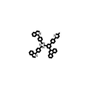 Cc1ccc(-c2ccc(-c3cc(-c4nc(-c5ccc(-c6nccc7ccccc67)cc5)nc(-c5ccc(-c6nccc7ccccc67)cc5)n4)cc(-c4cc5ccccc5c5ccccc45)c3)cc2)nc1